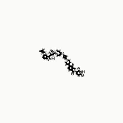 CC1(Oc2ccc3n[nH]c(-c4cc(N5CCC(O[C@H]6C[C@H](N7CCC(c8ccc9c(c8F)CN(C8CCC(=O)NC8=O)C9=O)CC7)C6)CC5)ncn4)c3c2)CC1